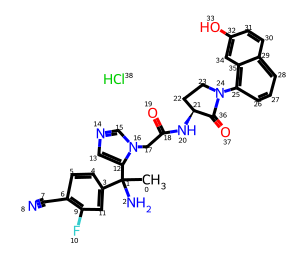 CC(N)(c1ccc(C#N)c(F)c1)c1cncn1CC(=O)N[C@H]1CCN(c2cccc3ccc(O)cc23)C1=O.Cl